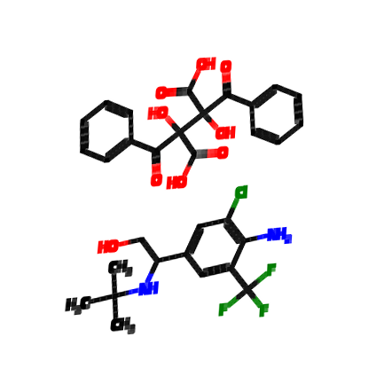 CC(C)(C)NC(CO)c1cc(Cl)c(N)c(C(F)(F)F)c1.O=C(O)C(O)(C(=O)c1ccccc1)C(O)(C(=O)O)C(=O)c1ccccc1